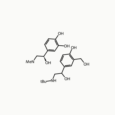 CC(C)(C)NCC(O)c1ccc(O)c(CO)c1.CNC[C@H](O)c1ccc(O)c(O)c1